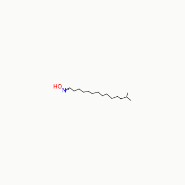 CC(C)CCCCCCCCCCCC=NO